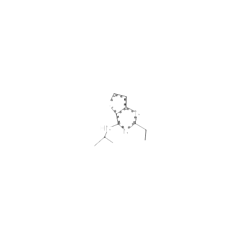 CCc1nc(NC(C)C)c2sccc2n1